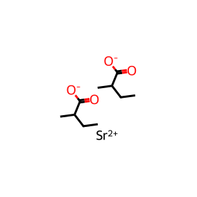 CCC(C)C(=O)[O-].CCC(C)C(=O)[O-].[Sr+2]